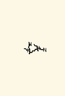 C=C(CCCCC(=C)N(CCC)CCC#N)N(/C=C/C#N)CCC